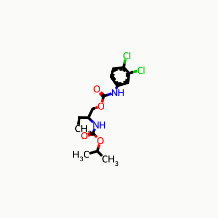 CCC(COC(=O)Nc1ccc(Cl)c(Cl)c1)NC(=O)OC(C)C